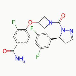 NC(=O)c1ccc(OC2CN(C(=O)N3N=CC[C@H]3c3cc(F)cc(F)c3)C2)c(F)c1